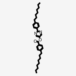 CCCCCCCCCc1ccc(C(=O)Oc2cnc(-c3ccc(CCCCCCCC)cc3)nc2)cc1